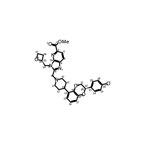 COC(=O)c1ccc2nc(CN3CCC(c4cccc5c4OC[C@@H](c4ccc(Cl)cc4)O5)CC3)n(C[C@@H]3CCO3)c2n1